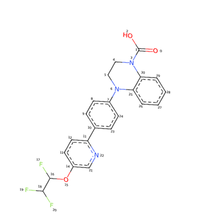 O=C(O)N1CCN(c2ccc(-c3ccc(OC(F)C(F)F)cn3)cc2)c2ccccc21